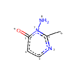 Cc1nccc(=O)n1N